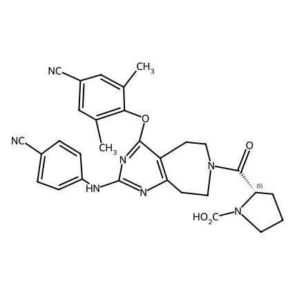 Cc1cc(C#N)cc(C)c1Oc1nc(Nc2ccc(C#N)cc2)nc2c1CCN(C(=O)[C@@H]1CCCN1C(=O)O)CC2